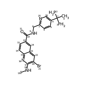 CC(P)(P)c1ccc(CNC(=O)c2ccc3nc(NI)c(Br)cc3c2)nc1